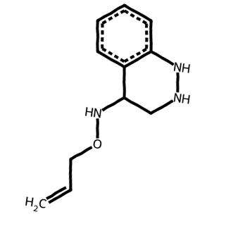 C=CCONC1CNNc2ccccc21